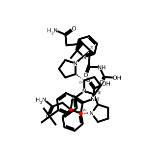 CC(C)(C)c1ccc(N2[C@H](C3CCCN3[C@]3(C(=O)NC(=O)O)c4ccc(cn4)C3(C)CC(N)=O)CC[C@H]2C2CCCN2[C@]2(C(=O)NC(=O)O)c3ccc(cn3)C2(C)CC(N)=O)cc1